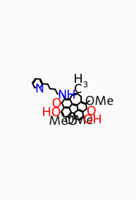 COc1c2c3c4c(c(NCCCCc5ccccn5)c(=O)c5c(O)cc(OC)c(c6c(OC)cc(O)c(c1=O)c63)c54)C=C(C)C2